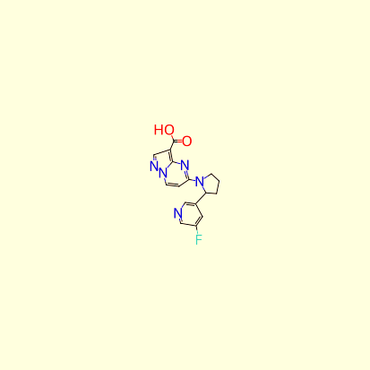 O=C(O)c1cnn2ccc(N3CCCC3c3cncc(F)c3)nc12